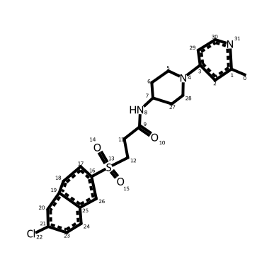 Cc1cc(N2CCC(NC(=O)CCS(=O)(=O)c3ccc4cc(Cl)ccc4c3)CC2)ccn1